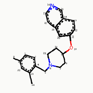 Cc1ccc(CN2CCC(Oc3ccc4cnccc4c3)CC2)c(C)c1